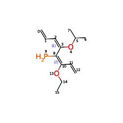 C=C/C=C(OC(C)C)\C(P)=C(/C=C)OCC